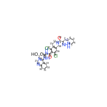 N=C(/C=C1/C=CC=CN1)C(=O)N1CCc2c(cc(Cl)c(C(=O)N[C@@H](Nc3ncnc4ccccc34)C(=O)O)c2Cl)C1